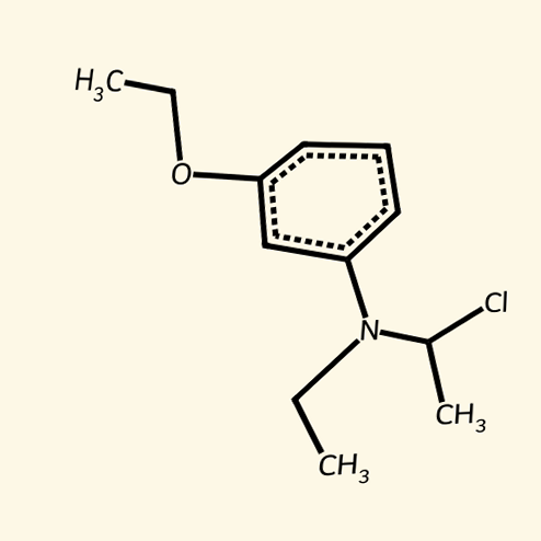 CCOc1cccc(N(CC)C(C)Cl)c1